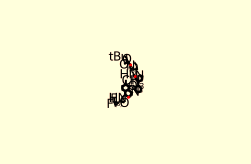 Cc1ccc2c(NC(=O)[C@@H]3CC3(F)F)cccc2c1Oc1ncccc1-c1ccnc(N[C@H]2CCCN(C(=O)OC(C)(C)C)C2)n1